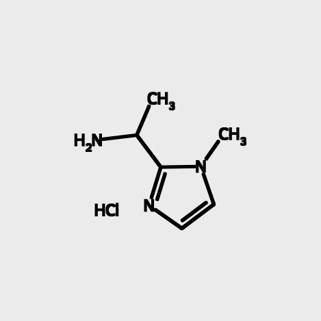 CC(N)c1nccn1C.Cl